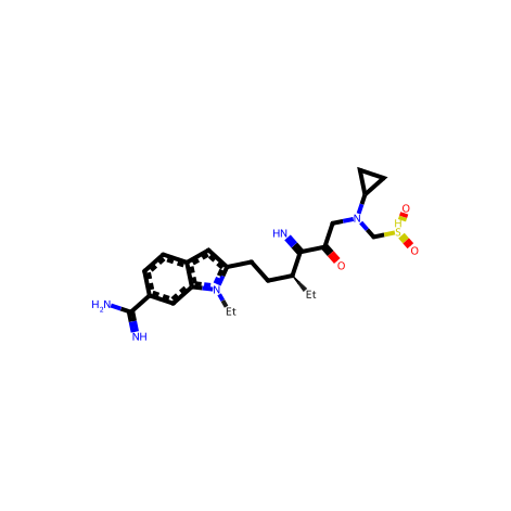 CC[C@@H](CCc1cc2ccc(C(=N)N)cc2n1CC)C(=N)C(=O)CN(C[SH](=O)=O)C1CC1